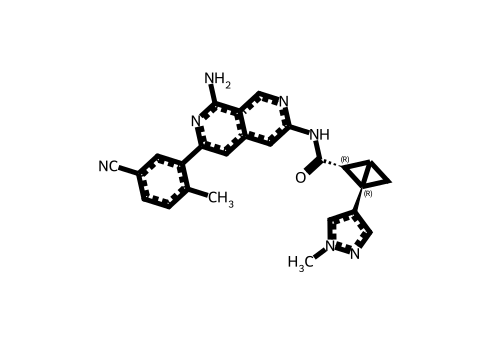 Cc1ccc(C#N)cc1-c1cc2cc(NC(=O)[C@@H]3C4C[C@@]43c3cnn(C)c3)ncc2c(N)n1